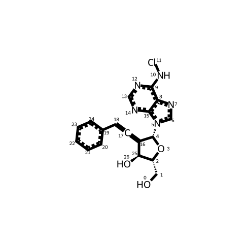 OC[C@H]1O[C@@H](n2cnc3c(NCl)ncnc32)C(=C=Cc2ccccc2)[C@@H]1O